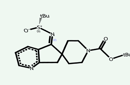 CC(C)(C)OC(=O)N1CCC2(CC1)Cc1ncccc1/C2=N\[S@+]([O-])C(C)(C)C